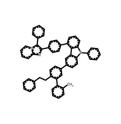 Cc1ccccc1-c1cc(-c2ccc3c(c2)-c2c(cccc2-c2ccc(-c4nc5ccccn5c4-c4ccccc4)cc2)B3c2ccccc2)ccc1CCc1ccccc1